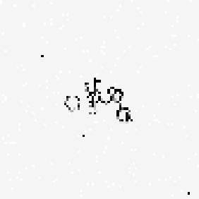 O=C1C(=Cc2occc2-c2cccnc2)NC(=S)N1C1CCCCC1